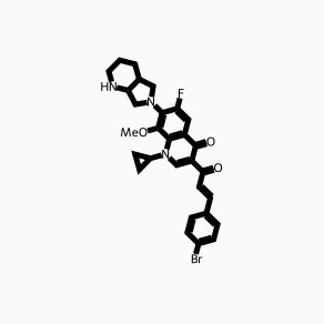 COc1c(N2CC3CCCNC3C2)c(F)cc2c(=O)c(C(=O)/C=C/c3ccc(Br)cc3)cn(C3CC3)c12